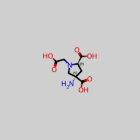 N[C@@]1(C(=O)O)C[C@H](C(=O)O)N(CC(=O)O)C1